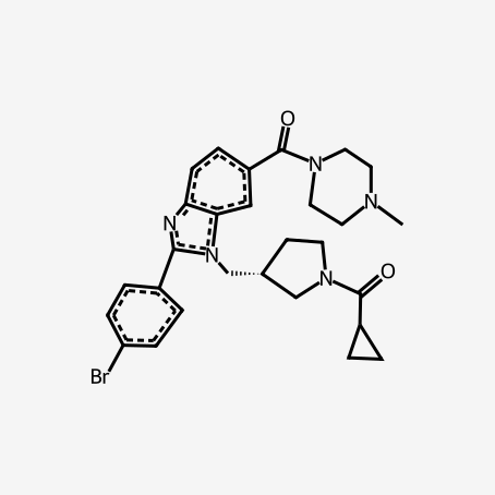 CN1CCN(C(=O)c2ccc3nc(-c4ccc(Br)cc4)n(C[C@@H]4CCN(C(=O)C5CC5)C4)c3c2)CC1